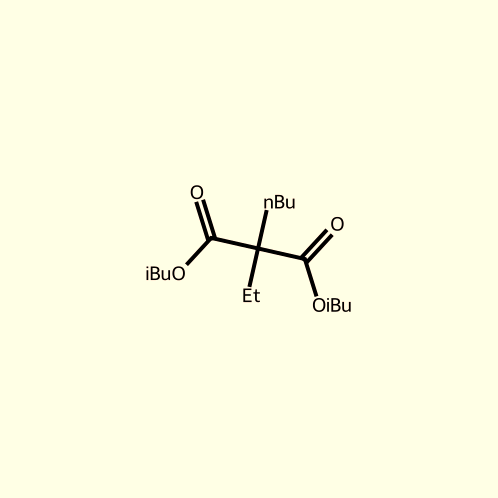 CCCCC(CC)(C(=O)OCC(C)C)C(=O)OCC(C)C